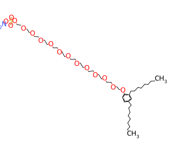 CCCCCCCCCc1ccc(OCCOCCOCCOCCOCCOCCOCCOCCOCCOCCOCCOCCOS(=O)(=O)ON)c(CCCCCCCCC)c1